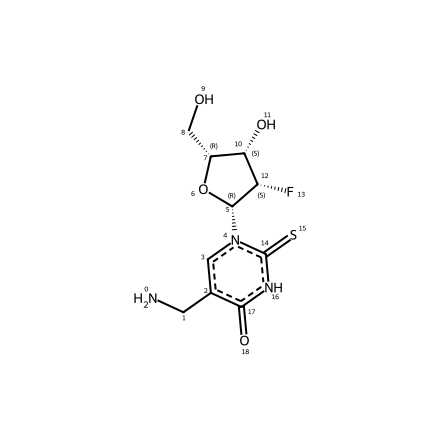 NCc1cn([C@@H]2O[C@H](CO)[C@H](O)[C@@H]2F)c(=S)[nH]c1=O